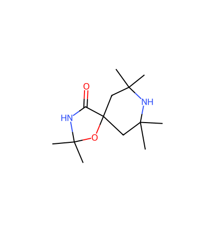 CC1(C)CC2(CC(C)(C)N1)OC(C)(C)NC2=O